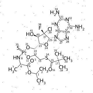 CC(C)OC(=O)C(C)NP(=S)(OCCSC(=O)C(C)(C)C)OC[C@H]1O[C@@H](n2cnc3c(N)nc(N)nc32)[C@@](F)(Cl)[C@@H]1O